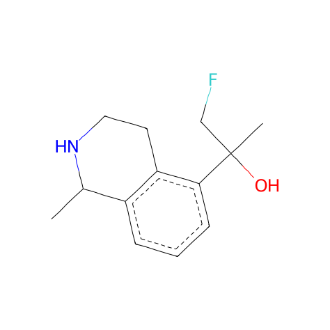 CC1NCCc2c1cccc2C(C)(O)CF